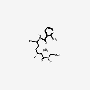 CC[C@H](CC[C@@H](C)[C@H](N)C(=O)N(CC)CSC)NC(=O)c1cccnc1N